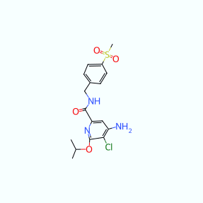 CC(C)Oc1nc(C(=O)NCc2ccc(S(C)(=O)=O)cc2)cc(N)c1Cl